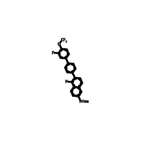 CCCCCCc1ccc2c(F)c(-c3ccc(-c4ccc(OC(F)(F)F)c(F)c4)cc3)ccc2c1